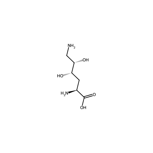 NC[C@H](O)[C@@H](O)C[C@H](N)C(=O)O